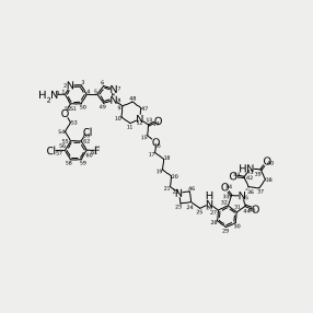 Nc1ncc(-c2cnn(C3CCN(C(=O)COCCCCCN4CC(CNc5cccc6c5C(=O)N([C@H]5CCC(=O)NC5=O)C6=O)C4)CC3)c2)cc1OCCc1c(Cl)ccc(F)c1Cl